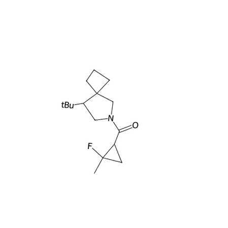 CC(C)(C)C1CN(C(=O)C2CC2(C)F)CC12CCC2